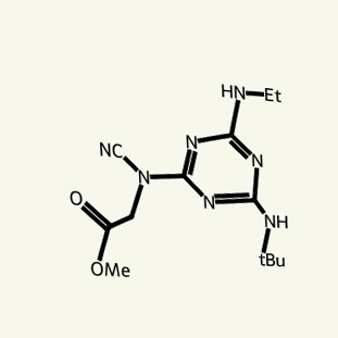 CCNc1nc(NC(C)(C)C)nc(N(C#N)CC(=O)OC)n1